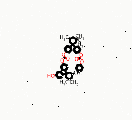 CC1CC(C)(C)CC(c2ccc(O)cc2)(c2ccc(OC(=O)Oc3ccc(C4(c5ccc(OC(=O)Oc6ccccc6)cc5)CC(C)CC(C)(C)C4)cc3)cc2)C1